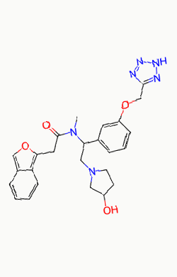 CN(C(=O)Cc1occ2ccccc12)C(CN1CCC(O)C1)c1cccc(OCc2nn[nH]n2)c1